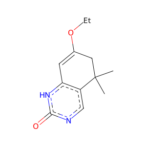 CCOC1=Cc2[nH]c(=O)ncc2C(C)(C)C1